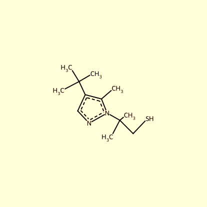 Cc1c(C(C)(C)C)cnn1C(C)(C)CS